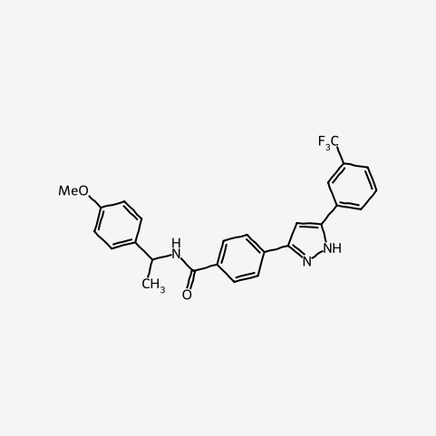 COc1ccc(C(C)NC(=O)c2ccc(-c3cc(-c4cccc(C(F)(F)F)c4)[nH]n3)cc2)cc1